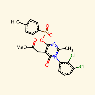 COC(=O)Cc1c(OS(=O)(=O)c2ccc(C)cc2)nc(C)n(-c2cccc(Cl)c2Cl)c1=O